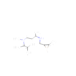 CC(CCN(C)C(C)C(C)C)NCC1SC1C